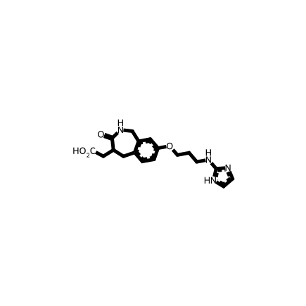 O=C(O)CC1Cc2ccc(OCCCNc3ncc[nH]3)cc2CNC1=O